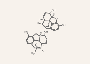 CN1CC[C@]23c4c5ccc(O)c4O[C@H]2[C@@H](O)C=C[C@H]3[C@H]1C5.Oc1ccc2c3c1O[C@H]1[C@@H](O)C=C[C@H]4[C@@H](C2)NCC[C@@]341